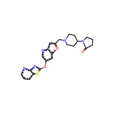 O=C1CCCN1C1CCN(Cc2cc3ncc(Oc4nc5ncccc5s4)cc3o2)CC1